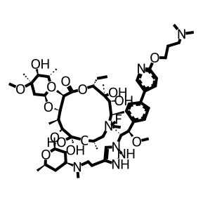 CC[C@H]1OC(=O)[C@H](C)[C@@H](O[C@H]2C[C@@](C)(OC)[C@@H](O)[C@H](C)O2)[C@H](C)[C@@H](O[C@@H]2O[C@H](C)C[C@H](N(C)CCC3=CN([C@H](CF)[C@H](OC)c4ccc(-c5ccc(OCCCN(C)C)nc5)cc4)NN3)[C@H]2O)[C@](C)(O)C[C@@H](C)CN(C)[C@H](C)[C@@H](O)[C@]1(C)O